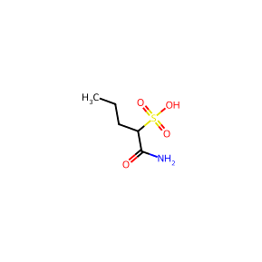 CCCC(C(N)=O)S(=O)(=O)O